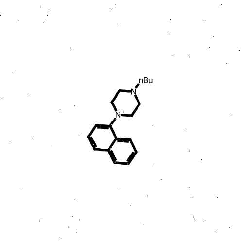 C[CH]CCN1CCN(c2cccc3ccccc23)CC1